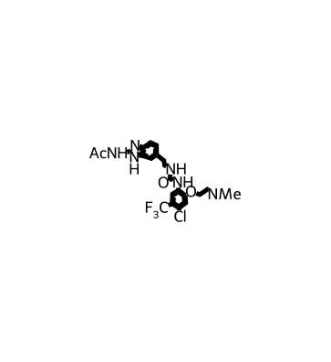 CNCCOc1cc(Cl)c(C(F)(F)F)cc1NC(=O)NCCc1ccc2nc(NC(C)=O)[nH]c2c1